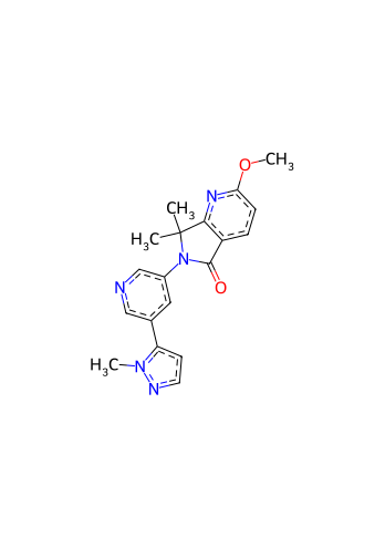 COc1ccc2c(n1)C(C)(C)N(c1cncc(-c3ccnn3C)c1)C2=O